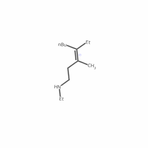 CCCC/C(CC)=C(/C)CCNCC